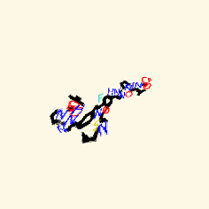 COC(=O)N[C@H](C(=O)N1CCC[C@H]1c1ncc(-c2cc(F)c3c(c2)OC(c2cnc(CC4CC4)s2)n2c-3cc3cc(C4CN=C([C@@H]5CCCN5C(=O)OC(C)(C)C)N4)ccc32)[nH]1)C(C)C